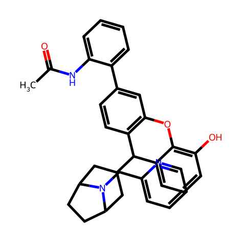 CC(=O)Nc1ccccc1-c1ccc2c(c1)Oc1c(O)cccc1C2C1CC2CCC(C1)N2Cc1ccccn1